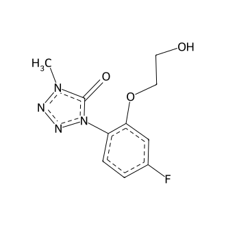 Cn1nnn(-c2ccc(F)cc2OCCO)c1=O